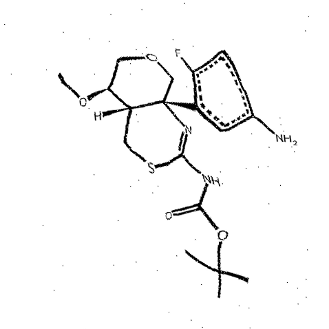 CO[C@H]1COC[C@]2(c3cc(N)ccc3F)N=C(NC(=O)OC(C)(C)C)SC[C@H]12